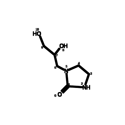 O=C1NCCN1CC(O)CO